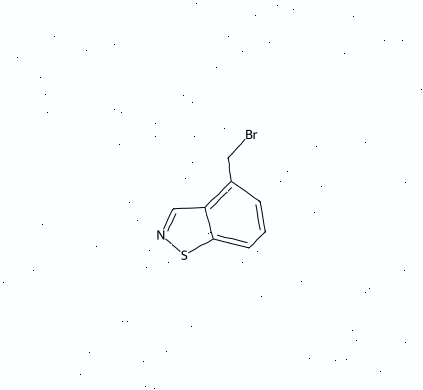 BrCc1cccc2sncc12